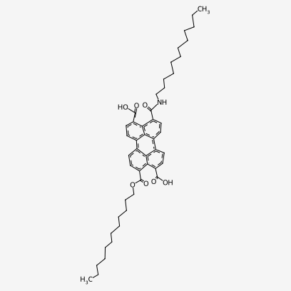 CCCCCCCCCCCCNC(=O)c1ccc2c3ccc(C(=O)O)c4c(C(=O)OCCCCCCCCCCCC)ccc(c5ccc(C(=O)O)c1c25)c43